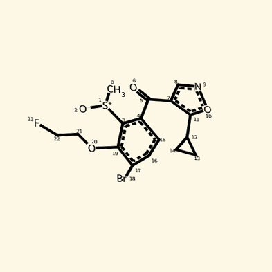 C[S+]([O-])c1c(C(=O)c2cnoc2C2CC2)ccc(Br)c1OCCF